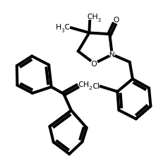 C=C(c1ccccc1)c1ccccc1.CC1(C)CON(Cc2ccccc2Cl)C1=O